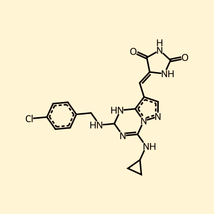 O=C1NC(=O)/C(=C/c2cnn3c2NC(NCc2ccc(Cl)cc2)N=C3NC2CC2)N1